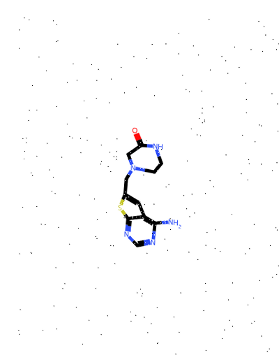 Nc1ncnc2sc(CN3CCNC(=O)C3)cc12